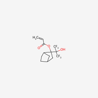 C=CC(=O)OC1(C(O)(C(F)(F)F)C(F)(F)F)CC2CCC1C2